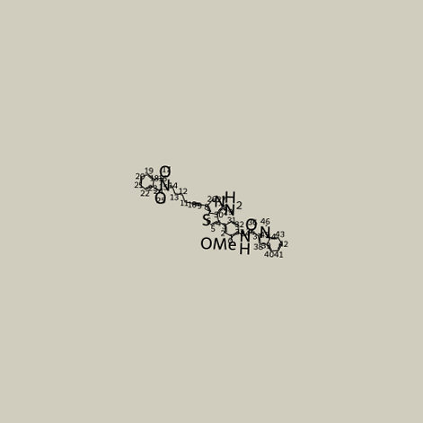 COc1cc(-c2csc3c(C#CCCCCN4C(=O)c5ccccc5C4=O)cnc(N)c23)ccc1NC(=O)c1cc2ccccc2n1C